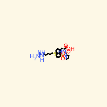 N=C(N)NCCCCCSc1ccc(C[C@H](NC(=O)[C@@H]2CCCN2S(=O)(=O)c2ccccc2)C(=O)O)cc1